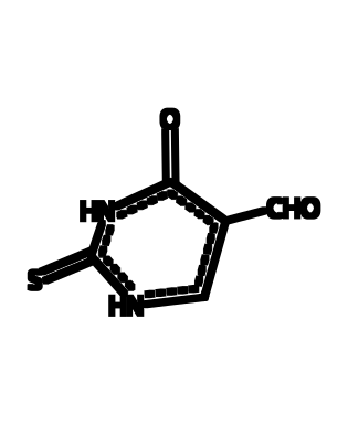 O=Cc1c[nH]c(=S)[nH]c1=O